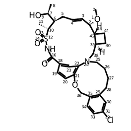 CO[C@H]1/C=C/C[C@H]([C@H](C)O)[C@@H](C)S(=O)(=O)NC(=O)c2ccc3c(c2)N(CCCCc2cc(Cl)ccc2CO3)C[C@@H]2CC[C@H]21